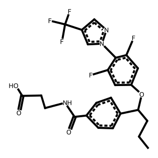 CCCC(Oc1cc(F)c(-n2cc(C(F)(F)F)cn2)c(F)c1)c1ccc(C(=O)NCCC(=O)O)cc1